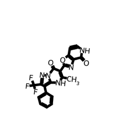 Cc1[nH]c2c(-c3ccccc3)c(C(F)(F)F)nn2c(=O)c1-c1nc2c(=O)[nH]c#cc2o1